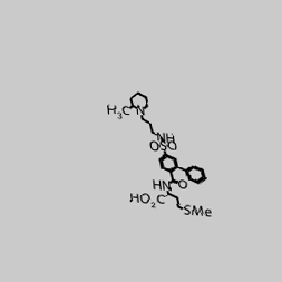 CSCC[C@H](NC(=O)c1ccc(S(=O)(=O)NCCCN2CCCCC2C)cc1-c1ccccc1)C(=O)O